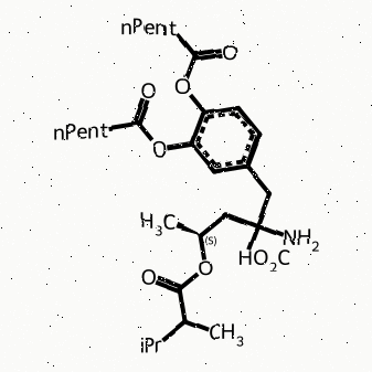 CCCCCC(=O)Oc1ccc(CC(N)(C[C@H](C)OC(=O)C(C)C(C)C)C(=O)O)cc1OC(=O)CCCCC